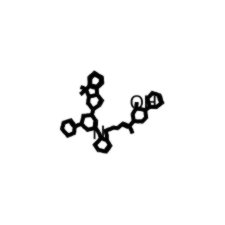 C/C(=C\CCC1C2C=CCCC2N1C1=CC(C2C=CC3c4ccccc4C(C)(C)C3C2)CC(C2=CCCCC2)C1)C1CCC(C2CC=CCC2)C(O)C1